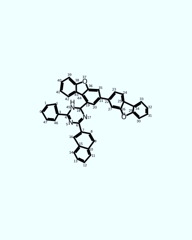 c1ccc(C2=NC(c3ccc4ccccc4c3)=NC(c3cc(-c4ccc5c(c4)oc4ccccc45)cc4oc5ccccc5c34)N2)cc1